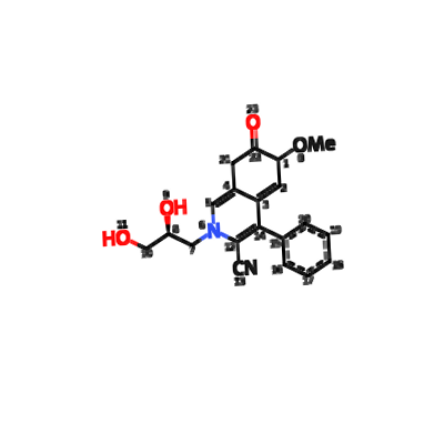 COC1C=C2C(=CN(C[C@H](O)CO)C(C#N)=C2c2ccccc2)CC1=O